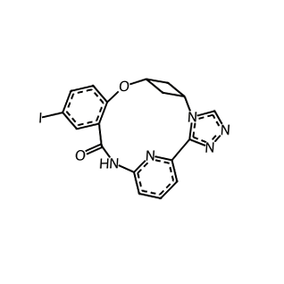 O=C1Nc2cccc(n2)-c2nncn2C2CC(C2)Oc2ccc(I)cc21